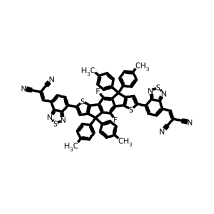 Cc1ccc(C2(c3ccc(C)cc3)c3cc(-c4ccc(C=C(C#N)C#N)c5nsnc45)sc3-c3c(F)c4c(c(F)c32)-c2sc(-c3ccc(C=C(C#N)C#N)c5nsnc35)cc2C4(c2ccc(C)cc2)c2ccc(C)cc2)cc1